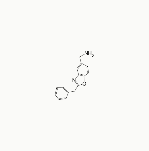 NCc1ccc2oc(Cc3ccccc3)nc2c1